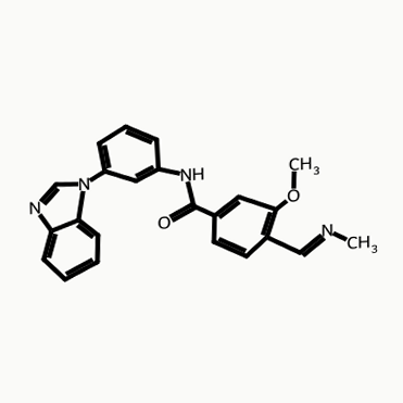 C/N=C/c1ccc(C(=O)Nc2cccc(-n3cnc4ccccc43)c2)cc1OC